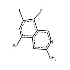 Nc1cc2c(Br)cc(I)c(F)c2cn1